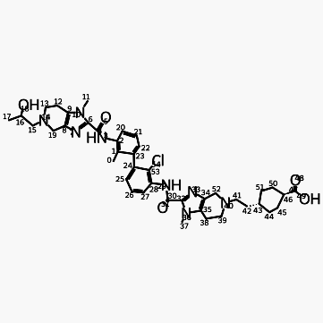 Cc1c(NC(=O)c2nc3c(n2C)CCN(CC(C)O)C3)cccc1-c1cccc(NC(=O)c2nc3c(n2C)CCN(CC[C@H]2CC[C@H](C(=O)O)CC2)C3)c1Cl